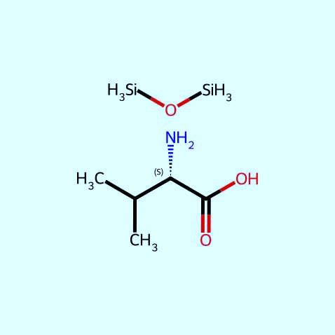 CC(C)[C@H](N)C(=O)O.[SiH3]O[SiH3]